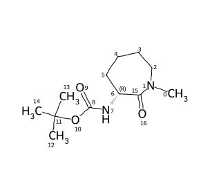 CN1CCCC[C@@H](NC(=O)OC(C)(C)C)C1=O